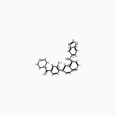 O=C(c1ccc(-c2ccc3nccc(Nc4ccc5ocnc5c4)c3c2)c(F)c1)N1CCOCC1